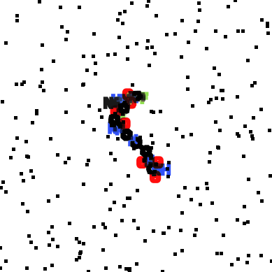 N#Cc1c(NS(=O)(=O)N2CC[C@@H](F)C2)ccc(F)c1Oc1ccc2ncn(-c3ccc(N4CCC(c5ccc6c(c5)C(=O)N(C5CCC(=O)NC5=O)C6)CC4)cc3)c(=O)c2c1